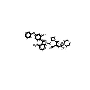 CC(C)(/C=C(/C#N)C(=O)N1CC[C@@H]1Cn1nc(-c2ccc(Oc3ccccc3)cc2F)c2c(N)ncnc21)N1CCOCC1